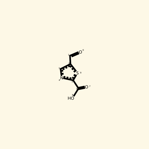 O=Cc1cnc(C(=O)O)s1